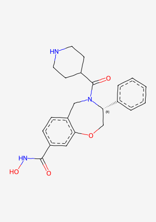 O=C(NO)c1ccc2c(c1)OC[C@@H](c1ccccc1)N(C(=O)C1CCNCC1)C2